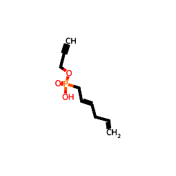 C#CCOP(=O)(O)CC=CCC=C